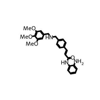 COc1cc(CNCc2ccc(C=CC(=O)Nc3ccccc3N)cc2)cc(OC)c1OC